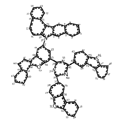 c1ccc2cc3c(cc2c1)c1c2ccccc2ccc1n3-c1cc(-c2nc(-c3ccc4oc5ccccc5c4c3)nc(-c3ccc4sc5ccccc5c4c3)n2)c2oc3c4ccccc4ccc3c2c1